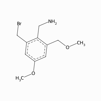 COCc1cc(OC)cc(CBr)c1CN